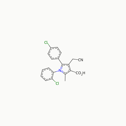 Cc1c(C(=O)O)c(CC#N)c(-c2ccc(Cl)cc2)n1-c1ccccc1Cl